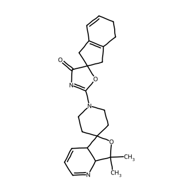 CC1(C)OC2(CCN(C3=NC(=O)C4(CC5=C(CCC=C5)C4)O3)CC2)C2C=CC=NC21